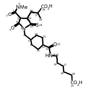 CNC(=O)C1C(=O)N(CC2CCC(C(=O)NCCCCCC(=O)O)CC2)C(=S)C1CC(C)C(=O)O